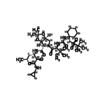 CCC[C@H](NC(=O)[C@@H]1[C@H]2OC(C)(C)O[C@H]2CN1C(=O)[C@@H](NC(=O)NC1(CS(=O)(=O)C(C)(C)C)CCCCC1)C(C)(C)C)C(=O)C(=O)NC1CC1